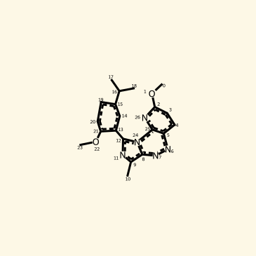 COc1ccc2nnc3c(C)nc(-c4cc(C(C)C)ccc4OC)n3c2n1